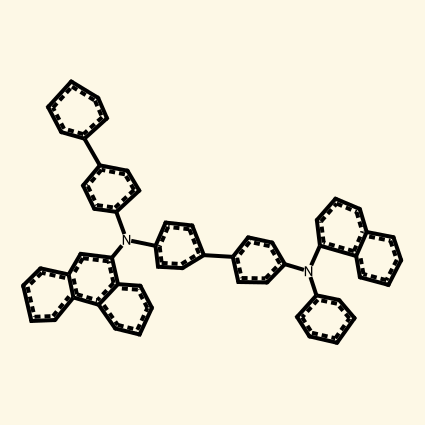 c1ccc(-c2ccc(N(c3ccc(-c4ccc(N(c5ccccc5)c5cccc6ccccc56)cc4)cc3)c3cc4ccccc4c4ccccc34)cc2)cc1